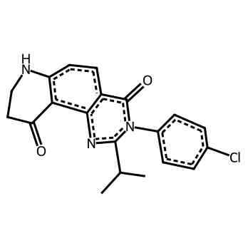 CC(C)c1nc2c3c(ccc2c(=O)n1-c1ccc(Cl)cc1)NCCC3=O